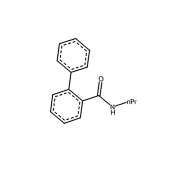 CCCNC(=O)c1ccccc1-c1ccccc1